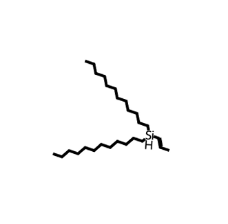 CC=C[SiH](CCCCCCCCCCCC)CCCCCCCCCCCC